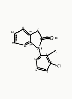 Cc1c(Cl)cccc1N1C(=O)Cc2ccccc21